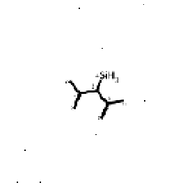 CC(C)C([SiH3])C(C)C